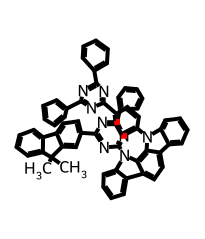 CC1(C)c2ccccc2-c2ccc(-c3nc(-c4ccccc4)nc(-n4c5ccccc5c5ccc6c7ccccc7n(-c7ccc(-c8nc(-c9ccccc9)nc(-c9ccccc9)n8)cc7)c6c54)n3)cc21